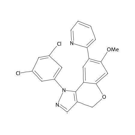 COc1cc2c(cc1-c1ccccn1)-c1c([c]nn1-c1cc(Cl)cc(Cl)c1)CO2